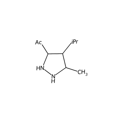 CC(=O)C1NNC(C)C1C(C)C